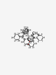 C[C@H](N(C)P(c1ccccc1)c1ccccc1)[C@]12[CH]3[CH]4[CH]5[C]1(P(c1ccccc1)c1ccccc1)[Fe]45321678[CH]2[CH]1[CH]6[CH]7[CH]28